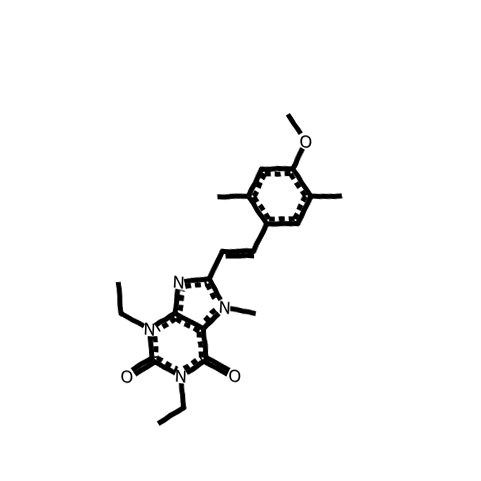 CCn1c(=O)c2c(nc(C=Cc3cc(C)c(OC)cc3C)n2C)n(CC)c1=O